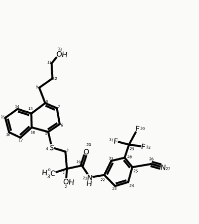 CC(O)(CSc1ccc(CCCO)c2ccccc12)C(=O)Nc1ccc(C#N)c(C(F)(F)F)c1